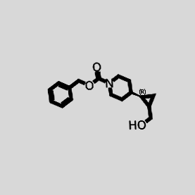 O=C(OCc1ccccc1)N1CCC([C@H]2CC2CO)CC1